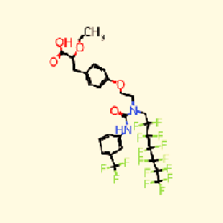 CCOC(Cc1ccc(OCCN(CC(F)(F)C(F)(F)C(F)(F)C(F)(F)C(F)(F)C(F)(F)F)C(=O)Nc2cccc(C(F)(F)F)c2)cc1)C(=O)O